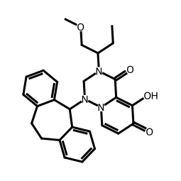 CCC(COC)N1CN(C2c3ccccc3CCc3ccccc32)n2ccc(=O)c(O)c2C1=O